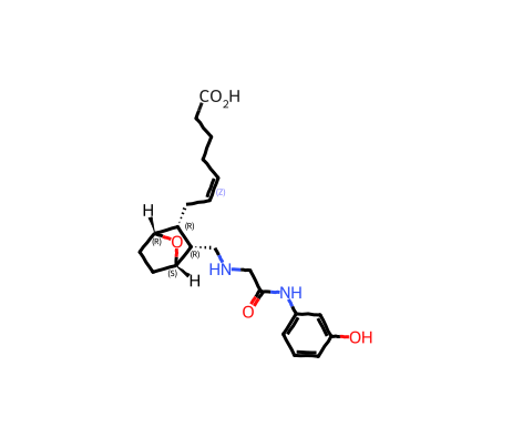 O=C(O)CCC/C=C\C[C@@H]1[C@H](CNCC(=O)Nc2cccc(O)c2)[C@@H]2CC[C@H]1O2